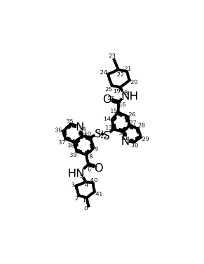 CC1CCC(NC(=O)c2cc(SSc3cc(C(=O)NC4CCC(C)CC4)cc4cccnc34)c3ncccc3c2)CC1